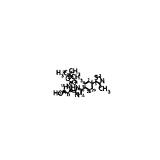 Cc1ncsc1-c1ccc(-c2cnc([C@@H]3C[C@@H](O)CN3C(=O)OC(C)(C)C)[nH]2)cc1